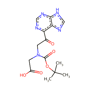 CC(C)(C)OC(=O)N(CC(=O)O)CC(=O)c1ncnc2[nH]cnc12